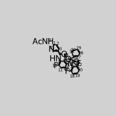 CC(=O)Nc1ccc(C(=O)Nc2c(F)ccc(N(c3c(F)cccc3F)S(=O)(=O)c3ccccc3)c2F)cn1